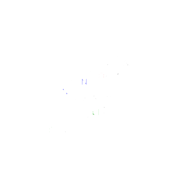 C[Si](C)(C)CCOCn1cnc(-c2cc(Cl)ccc2Cl)c1C1CC1